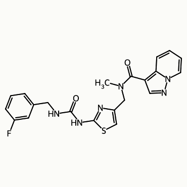 CN(Cc1csc(NC(=O)NCc2cccc(F)c2)n1)C(=O)c1cnn2ccccc12